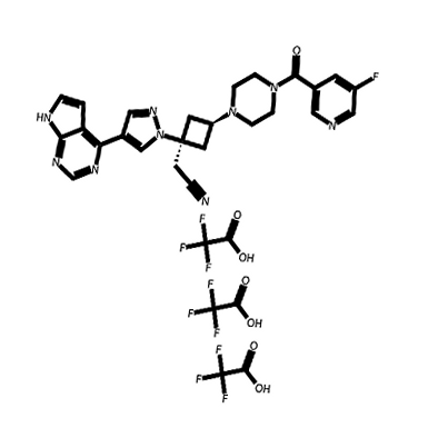 N#CC[C@]1(n2cc(-c3ncnc4[nH]ccc34)cn2)C[C@@H](N2CCN(C(=O)c3cncc(F)c3)CC2)C1.O=C(O)C(F)(F)F.O=C(O)C(F)(F)F.O=C(O)C(F)(F)F